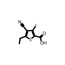 CCc1sc(C(=O)O)c(I)c1C#N